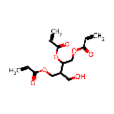 C=CC(=O)OCC(CO)C(COC(=O)C=C)OC(=O)C=C